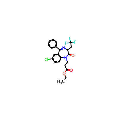 CCOC(=O)CCN1C(=O)C(CC(F)(F)F)N=C(c2ccccc2)c2cc(Cl)ccc21